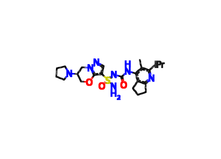 Cc1c(C(C)C)nc2c(c1NC(=O)N=S(N)(=O)c1cnn3c1OCC(N1CCCC1)C3)CCC2